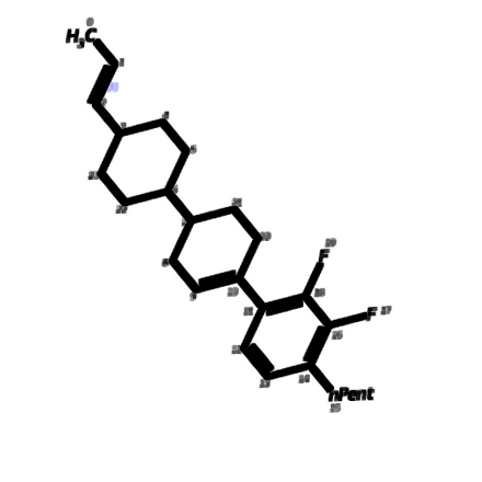 C/C=C/C1CCC(C2CC=C(c3ccc(CCCCC)c(F)c3F)CC2)CC1